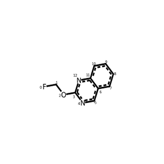 FCOc1n[c]c2ccccc2n1